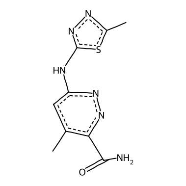 Cc1nnc(Nc2cc(C)c(C(N)=O)nn2)s1